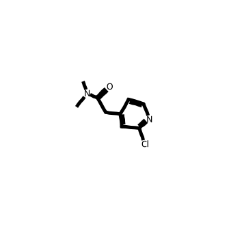 CN(C)C(=O)Cc1ccnc(Cl)c1